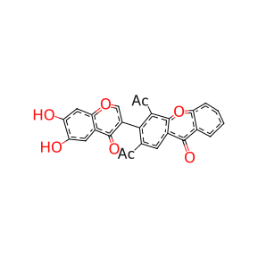 CC(=O)c1cc2c(=O)c3ccccc3oc2c(C(C)=O)c1-c1coc2cc(O)c(O)cc2c1=O